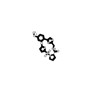 O=C(NCc1nc(-c2ccc(OC(F)(F)F)cc2)cs1)[C@@H]1C=CCN1S(=O)(=O)c1ccc(Cl)s1